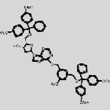 COc1ccc(C(OCc2cc(COc3ncnc4c3ncn4[C@H]3C[C@H](O)[C@@H](COC(c4ccccc4)(c4ccc(OC)cc4)c4ccc(OC)cc4)O3)cc(OC(C)=O)c2)(c2ccccc2)c2ccc(OC)cc2)cc1